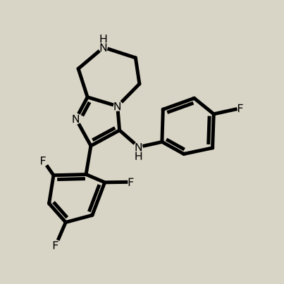 Fc1ccc(Nc2c(-c3c(F)cc(F)cc3F)nc3n2CCNC3)cc1